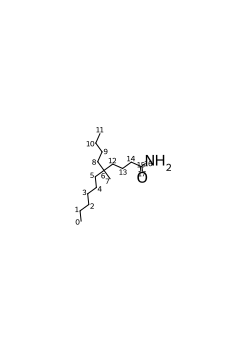 CCCCCCC(C)(CCCC)CCCC(N)=O